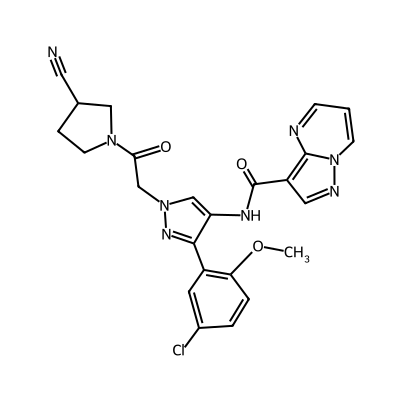 COc1ccc(Cl)cc1-c1nn(CC(=O)N2CCC(C#N)C2)cc1NC(=O)c1cnn2cccnc12